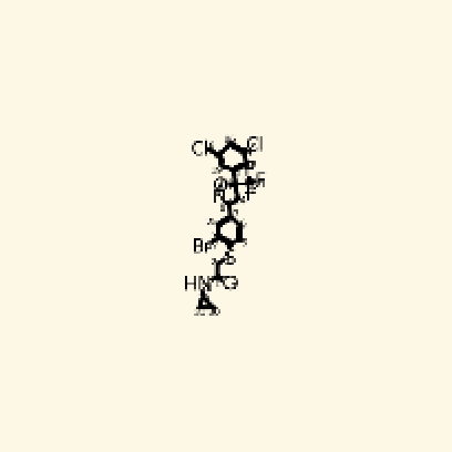 O=C(CSc1ccc(C2=NO[C@@](c3cc(Cl)cc(Cl)c3)(C(F)(F)F)C2)cc1Br)NC1CC1